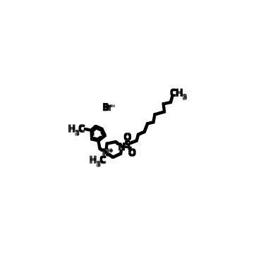 CCCCCCCCCCS(=O)(=O)N1CC[N+](C)(Cc2cccc(C)c2)CC1.[Br-]